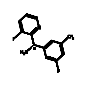 N[C@@H](c1cc(F)cc(C(F)(F)F)c1)c1ncccc1F